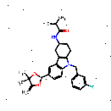 C=C1OB(c2ccc3c(c2)c2c(n3Cc3cccc(F)c3)CCC(NC(=O)C(C)C)C2)OC1(C)C